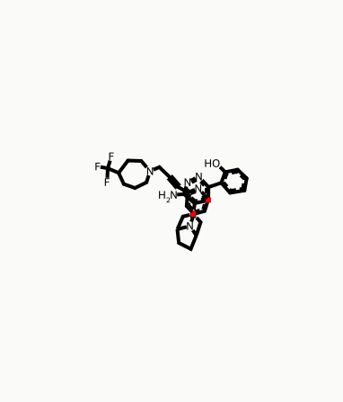 Nc1nnc(-c2ccccc2O)cc1N1CC2CCC(C1)N2c1ccnc(C#CCN2CCCC(C(F)(F)F)CC2)c1